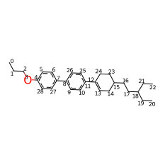 CCCOc1ccc(-c2ccc(C3=CCC(CCC(CC)CC)CC3)cc2)cc1